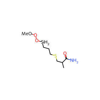 COOO[SiH2]CCCSCC(C)C(N)=O